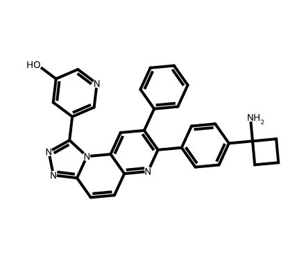 NC1(c2ccc(-c3nc4ccc5nnc(-c6cncc(O)c6)n5c4cc3-c3ccccc3)cc2)CCC1